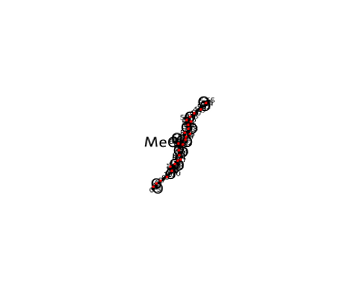 C=CC(=O)OCCCCCCOc1ccc(OC(=O)C2CCC(C(=O)Oc3ccc(OC(=O)C4CCC(C(=O)Oc5ccc(OCCCCCCOC(=O)C=C)c(C)c5)CC4)c(C(=O)OC)c3)CC2)cc1C